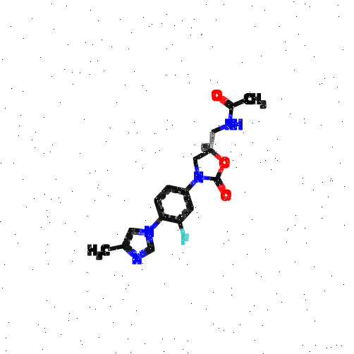 CC(=O)NC[C@H]1CN(c2ccc(-n3cnc(C)c3)c(F)c2)C(=O)O1